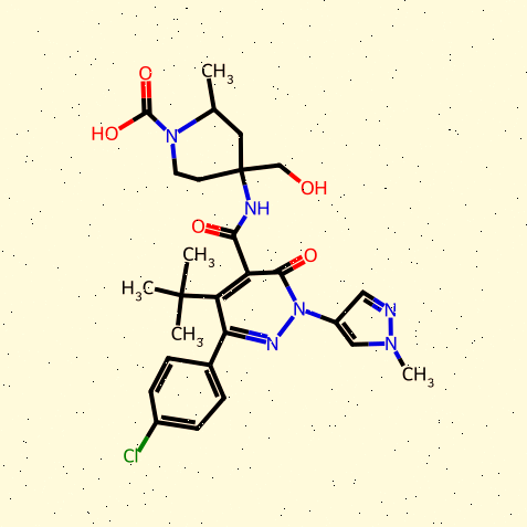 CC1CC(CO)(NC(=O)c2c(C(C)(C)C)c(-c3ccc(Cl)cc3)nn(-c3cnn(C)c3)c2=O)CCN1C(=O)O